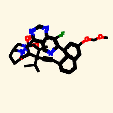 COCOc1cc(-c2ncc3c(N4CC5CCC(C4)N5C(=O)O)ncnc3c2F)c2c(C#C[Si](C(C)C)(C(C)C)C(C)C)cccc2c1